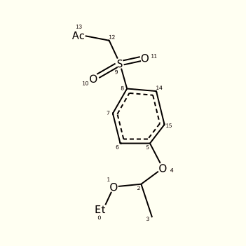 CCOC(C)Oc1ccc(S(=O)(=O)CC(C)=O)cc1